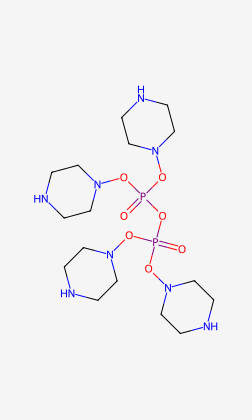 O=P(ON1CCNCC1)(ON1CCNCC1)OP(=O)(ON1CCNCC1)ON1CCNCC1